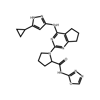 O=C(Nc1nnco1)C1CCCN1c1nc2c(c([AsH]c3cc(C4CC4)[nH]n3)n1)CCC2